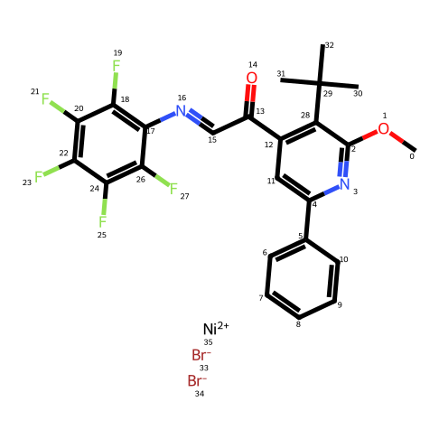 COc1nc(-c2ccccc2)cc(C(=O)C=Nc2c(F)c(F)c(F)c(F)c2F)c1C(C)(C)C.[Br-].[Br-].[Ni+2]